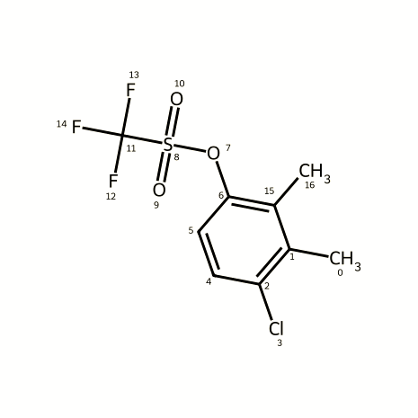 Cc1c(Cl)ccc(OS(=O)(=O)C(F)(F)F)c1C